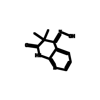 CC1(C)C(=O)Nc2ncccc2/C1=N\O